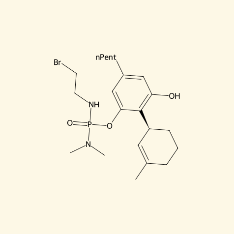 CCCCCc1cc(O)c([C@@H]2C=C(C)CCC2)c(OP(=O)(NCCBr)N(C)C)c1